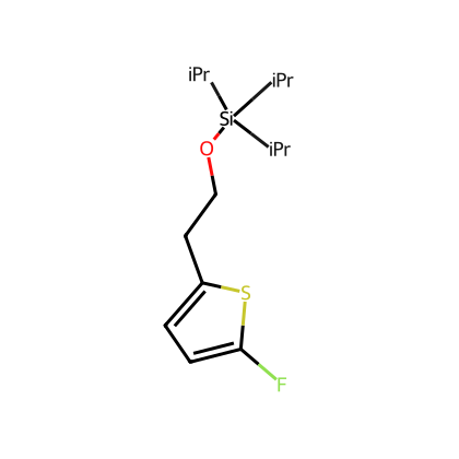 CC(C)[Si](OCCc1ccc(F)s1)(C(C)C)C(C)C